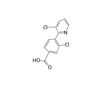 O=C(O)c1ccc(-c2ncccc2Cl)c(Cl)c1